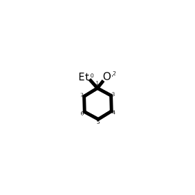 CCC1([O])CCCCC1